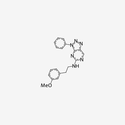 COc1cccc(CCNc2ncc3nnn(-c4ccccc4)c3n2)c1